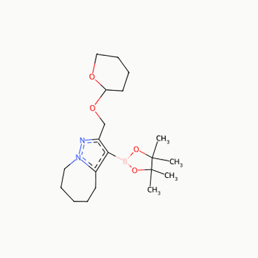 CC1(C)OB(c2c(COC3CCCCO3)nn3c2CCCCC3)OC1(C)C